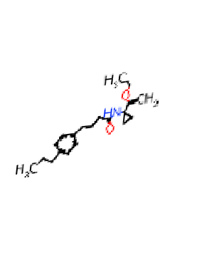 C=C(OCC)C1(NC(=O)CCCc2ccc(CCC)cc2)CC1